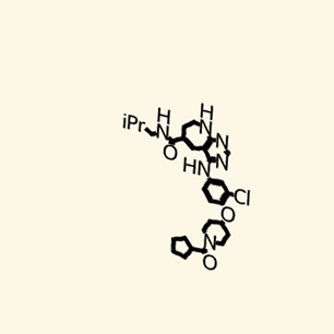 CC(C)CNC(=O)C1=Cc2c(ncnc2Nc2ccc(OC3CCN(C(=O)C4CCCC4)CC3)c(Cl)c2)NCC1